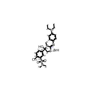 Br.CCN(CC)c1ccc(/N=C2/SCC(O)(c3ccc(Cl)c(S(=O)(=O)N(C)C)c3)N2C)cc1